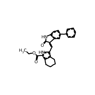 CCOC(=O)c1[nH]c(C=C2C(=O)Nc3ccc(-c4ccccc4)cc32)c2c1CCCC2